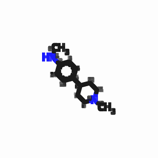 CNc1ccc(C2CCN(C)CC2)cc1